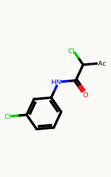 CC(=O)C(Cl)C(=O)Nc1cccc(Cl)c1